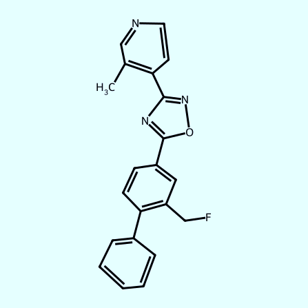 Cc1cnccc1-c1noc(-c2ccc(-c3ccccc3)c(CF)c2)n1